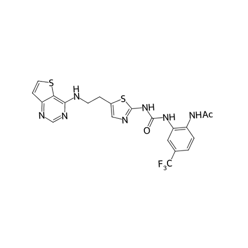 CC(=O)Nc1ccc(C(F)(F)F)cc1NC(=O)Nc1ncc(CCNc2ncnc3ccsc23)s1